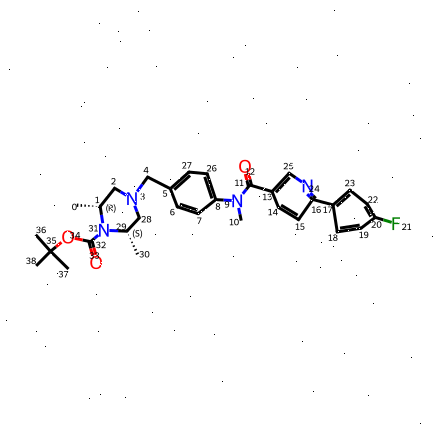 C[C@@H]1CN(Cc2ccc(N(C)C(=O)c3ccc(-c4ccc(F)cc4)nc3)cc2)C[C@H](C)N1C(=O)OC(C)(C)C